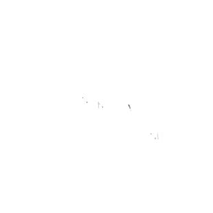 Cc1cc(O[C@@H]2CCCNC2)nnc1Cl